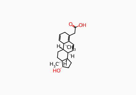 C[C@]12CC[C@H]3[C@@H](C=CC4=C(CC(=O)O)CC=C[C@@]43C)[C@@H]1CC[C@@H]2O